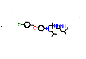 CC(C)CCN(CC(C)(C)NC[C@@H](N)CC(C)C)c1ccc(OCc2ccc(Cl)cc2)cc1